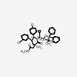 COC(=O)C[C@@]1(C)CC(c2cccc(Cl)c2)[C@@H](c2ccc(Cl)cc2)N([C@H](CO[Si](c2ccccc2)(c2ccccc2)C(C)(C)C)C2CC2)C1=O